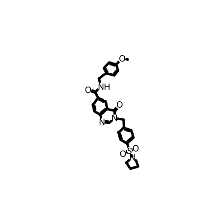 COc1ccc(CNC(=O)c2ccc3ncn(Cc4ccc(S(=O)(=O)N5CCCC5)cc4)c(=O)c3c2)cc1